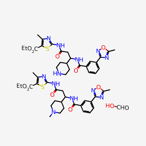 CCOC(=O)c1sc(NC(=O)CC(NC(=O)c2cccc(-c3noc(C)n3)c2)C2CCN(C)CC2)nc1C.CCOC(=O)c1sc(NC(=O)CC(NC(=O)c2cccc(-c3noc(C)n3)c2)C2CCNCC2)nc1C.O=CO